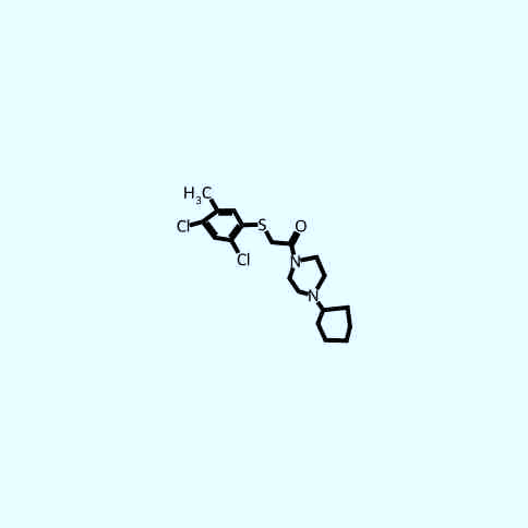 Cc1cc(SCC(=O)N2CCN(C3CCCCC3)CC2)c(Cl)cc1Cl